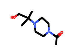 CC(=O)N1CCN(C(C)(C)CO)CC1